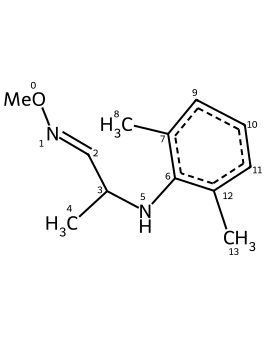 CON=CC(C)Nc1c(C)cccc1C